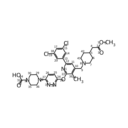 COC(=O)CC1CCN(Cc2cc(-c3cc(Cl)cc(Cl)c3)nc(Oc3ccc(N4CCN(C(=O)O)CC4)nn3)c2C)CC1